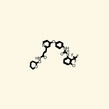 O=C(/C=C/c1cc(Oc2ccc(NC(=O)Nc3cccc(Cl)c3C(F)(F)F)cc2)ccn1)NOC1CCCCO1